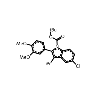 COc1ccc(-c2c(C(C)C)c3cc(Cl)ccc3n2C(=O)OC(C)(C)C)cc1OC